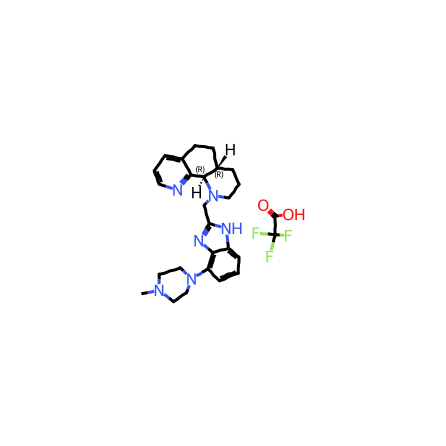 CN1CCN(c2cccc3[nH]c(CN4CCC[C@H]5CCc6cccnc6[C@@H]54)nc23)CC1.O=C(O)C(F)(F)F